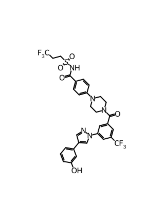 O=C(NS(=O)(=O)CCC(F)(F)F)c1ccc(N2CCN(C(=O)c3cc(-n4cc(-c5cccc(O)c5)cn4)cc(C(F)(F)F)c3)CC2)cc1